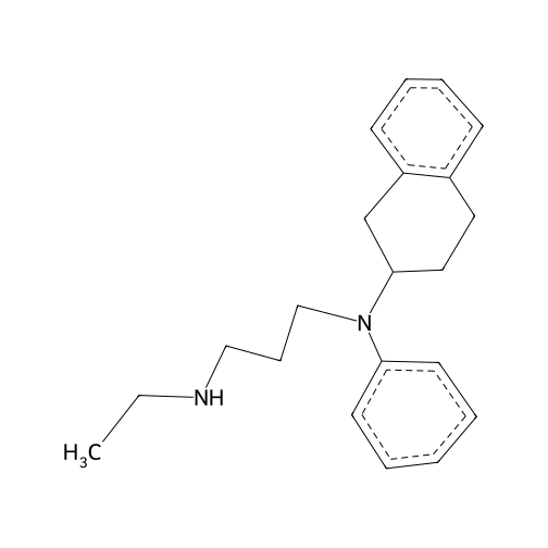 CCNCCCN(c1ccccc1)C1CCc2ccccc2C1